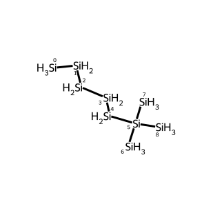 [SiH3][SiH2][SiH2][SiH2][SiH2][Si]([SiH3])([SiH3])[SiH3]